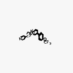 FC(F)(F)Oc1ccc(-c2ccc3nnc(Oc4ccncc4)n3c2)cc1